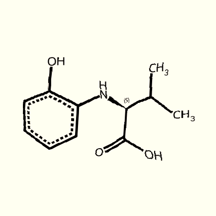 CC(C)[C@H](Nc1ccccc1O)C(=O)O